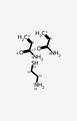 C=CC(N)=O.C=CC(N)=O.NCCS